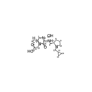 Cc1cnc(NC[C@H]2CCCN2CC2CC2)c(=O)n1CC(=O)O.Cl